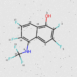 Oc1c(F)c(F)cc2c(NC(F)(F)F)c(F)c(F)cc12